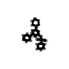 O=S(=O)(Cc1cc(N2CCOCC2)nc(-c2ccncc2)n1)c1ccccc1